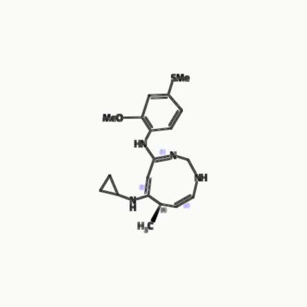 COc1cc(SC)ccc1NC1=N/CN/C=C\[C@@H](C)/C(NC2CC2)=C\1